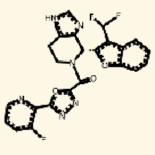 O=C(c1nnc(-c2ncccc2F)o1)N1CCc2[nH]cnc2[C@@H]1c1oc2ccccc2c1C(F)F